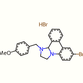 Br.COc1ccc(CN2CCN3c4ccc(Br)cc4-c4ccccc4C23)cc1